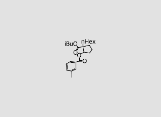 CCCCCCC1(C(=O)OCC(C)C)CCCC1OC(=O)c1cccc(C)c1